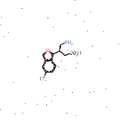 NCC(CC(=O)O)c1occ2cc(Cl)ccc12